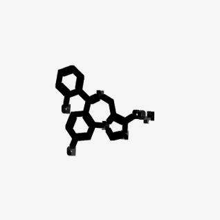 O=C(O)c1ncn2c1CN=C(c1ccccc1Cl)c1ccc(Cl)cc1-2